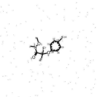 CON(C)C(=O)C(F)(F)Oc1ccc(F)cc1